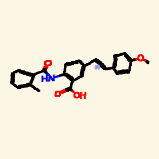 COc1ccc(/C=C/c2ccc(NC(=O)c3ccccc3C)c(C(=O)O)c2)cc1